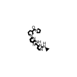 O=C(C1CCCN(c2ccc3nc(-c4ccnc(NC5CC5)n4)[nH]c3n2)C1)N1CCCC1